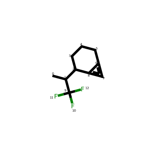 CC(C1CCCC2=C=C21)C(F)(F)F